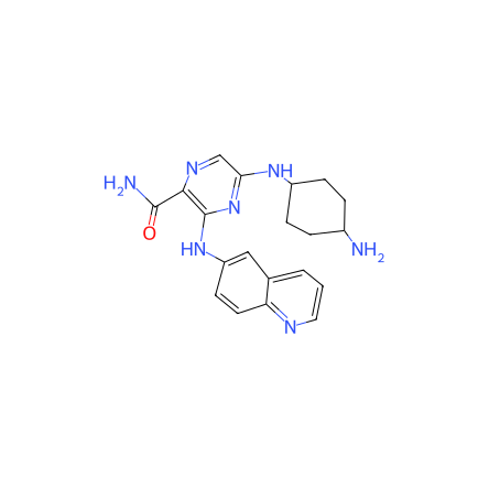 NC(=O)c1ncc(NC2CCC(N)CC2)nc1Nc1ccc2ncccc2c1